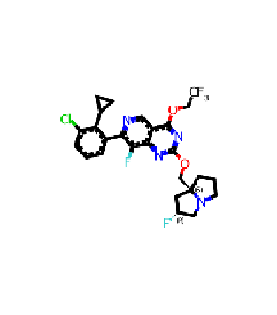 Fc1c(-c2cccc(Cl)c2C2CC2)ncc2c(OCC(F)(F)F)nc(OC[C@@]34CCCN3C[C@H](F)C4)nc12